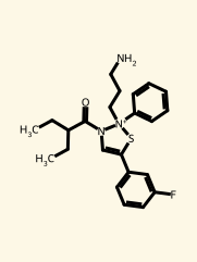 CCC(CC)C(=O)N1C=C(c2cccc(F)c2)S[N+]1(CCCN)c1ccccc1